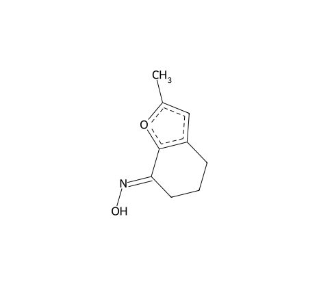 Cc1cc2c(o1)/C(=N/O)CCC2